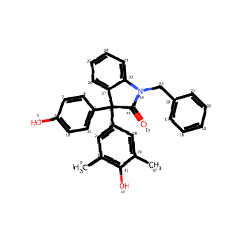 Cc1cc(C2(c3ccc(O)cc3)C(=O)N(Cc3ccccc3)c3ccccc32)cc(C)c1O